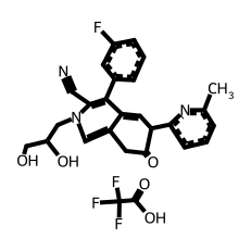 Cc1cccc(C2C=C3C(=CN(CC(O)CO)C(C#N)=C3c3cccc(F)c3)CC2=O)n1.O=C(O)C(F)(F)F